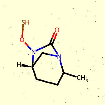 CC1CC[C@H]2CN1C(=O)N2OS